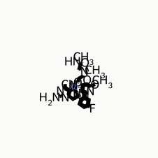 CNC(=O)CN(C)C(=O)CO/N=C1\N[C@@H](c2ccc(F)cc2-c2cccc(OC)n2)Cc2nc(N)nc(C)c21